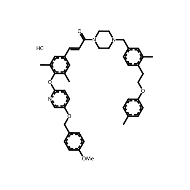 COc1ccc(COc2ccc(Oc3c(C)cc(C=CC(=O)N4CCN(Cc5ccc(CCOc6ccc(C)cc6)c(C)c5)CC4)cc3C)nc2)cc1.Cl